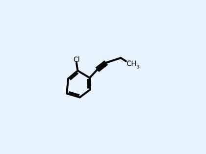 CCC#Cc1ccccc1Cl